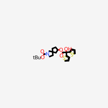 CC(C)(C)OC(=O)N1CCC2(CCC(OC(=O)C(O)(c3cccs3)c3cccs3)C2)C1